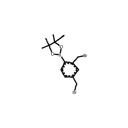 CC1(C)OB(c2ccc(CBr)cc2CBr)OC1(C)C